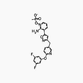 CP(=O)([O-])O[n+]1cccc(-c2cc(Cc3ccc(Oc4cc(F)cc(F)c4)nc3)no2)c1N